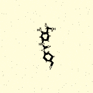 O=Cc1ccc(OC(=O)Nc2ccc(C(=O)O)c(O)c2)cc1